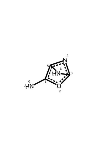 [NH]c1oc2nc1N2